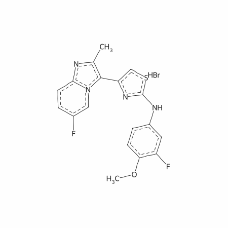 Br.COc1ccc(Nc2nc(-c3c(C)nc4ccc(F)cn34)cs2)cc1F